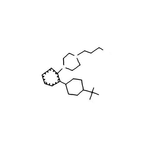 CCCCN1CCN(c2cc[c]cc2C2CCC(C(C)(C)C)CC2)CC1